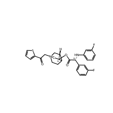 O=C(C[N+]12CCC(CC1)[C@@H](OC(=O)[C@H](Nc1cccc(F)c1)c1cccc(F)c1)C2)c1cccs1